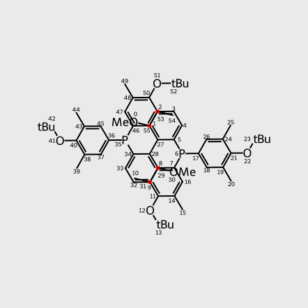 COc1cccc(P(c2cc(C)c(OC(C)(C)C)c(C)c2)c2cc(C)c(OC(C)(C)C)c(C)c2)c1-c1c(OC)cccc1P(c1cc(C)c(OC(C)(C)C)c(C)c1)c1cc(C)c(OC(C)(C)C)c(C)c1